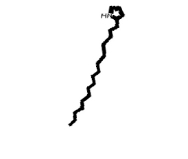 CCCCCCCCCCCCCCCCc1ccc[nH]1